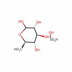 O=C(O)[C@H]1OC(O)[C@H](O)[C@@H](O)[C@@H]1O.O=S(=O)(O)O